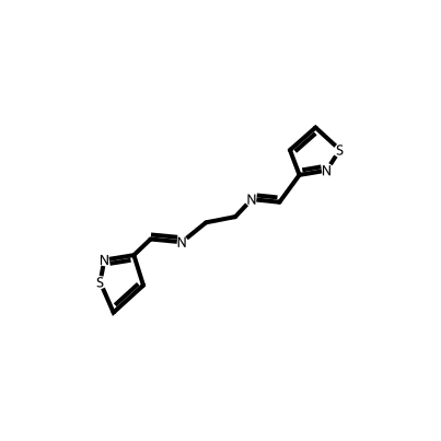 C(=N\CC/N=C/c1ccsn1)/c1ccsn1